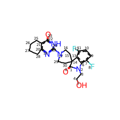 O=C1N(CCO)c2c(F)ccc(F)c2C12CCN(c1nc3c(c(=O)[nH]1)CCCC3)CC2